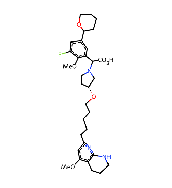 COc1cc(CCCCCO[C@@H]2CCN(C(C(=O)O)c3cc(C4CCCCO4)cc(F)c3OC)C2)nc2c1CCCN2